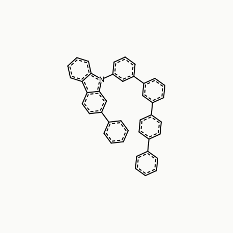 c1ccc(-c2ccc(-c3cccc(-c4cccc(-n5c6ccccc6c6ccc(-c7ccccc7)cc65)c4)c3)cc2)cc1